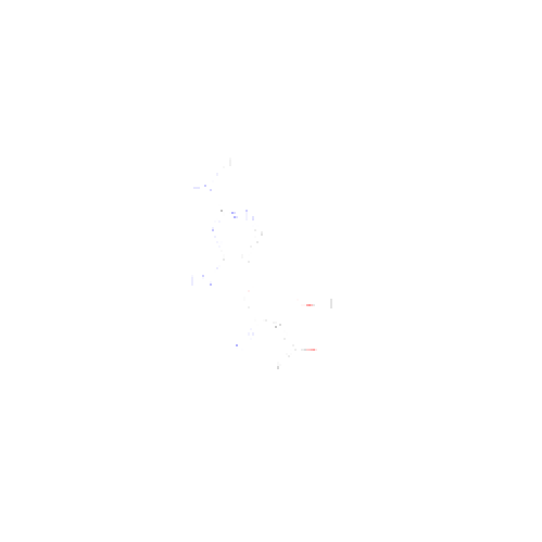 CNc1ncc(OCc2nccc(OC)c2OC)c(N)n1